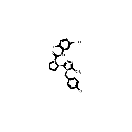 Cc1nnc([C@H]2CCCN2C(=O)Nc2cc(C(=O)O)ccc2F)n1Cc1ccc(Cl)cc1